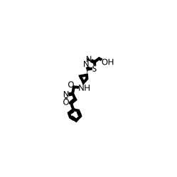 O=C(N[C@H]1C[C@@H](c2nnc(CO)s2)C1)c1cc(-c2ccccc2)on1